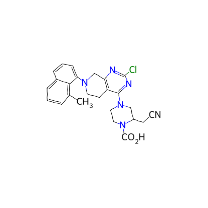 Cc1cccc2cccc(N3CCc4c(nc(Cl)nc4N4CCN(C(=O)O)C(CC#N)C4)C3)c12